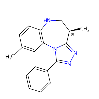 Cc1ccc2c(c1)-n1c(-c3ccccc3)nnc1[C@H](C)CN2